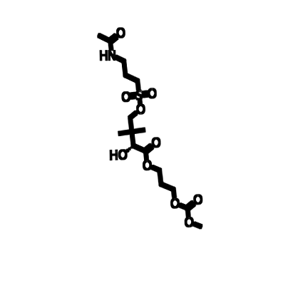 COC(=O)OCCCOC(=O)[C@H](O)C(C)(C)COS(=O)(=O)CCCNC(C)=O